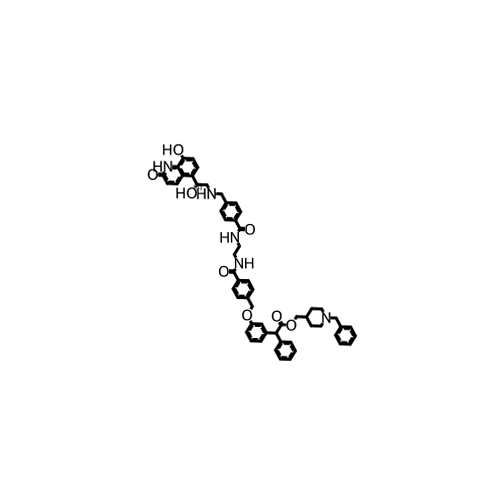 O=C(NCCNC(=O)c1ccc(COc2cccc(C(C(=O)OCC3CCN(Cc4ccccc4)CC3)c3ccccc3)c2)cc1)c1ccc(CNC[C@H](O)c2ccc(O)c3[nH]c(=O)ccc23)cc1